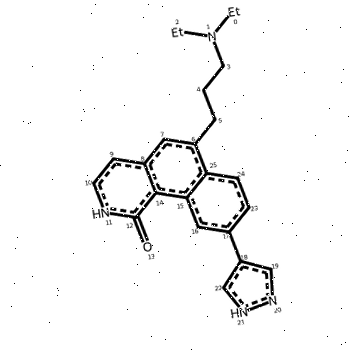 CCN(CC)CCCc1cc2cc[nH]c(=O)c2c2cc(-c3cn[nH]c3)ccc12